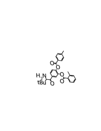 Cc1ccc(C(=O)Oc2ccc(C(=O)C(N)C(C)(C)C)cc2OC(=O)c2ccccc2C)cc1